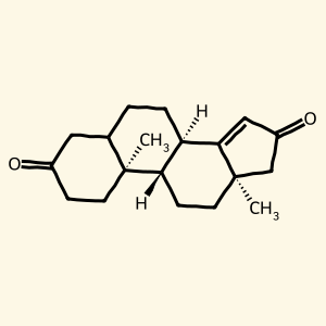 C[C@]12CC[C@H]3[C@@H](CCC4CC(=O)CC[C@@]43C)C1=CC(=O)C2